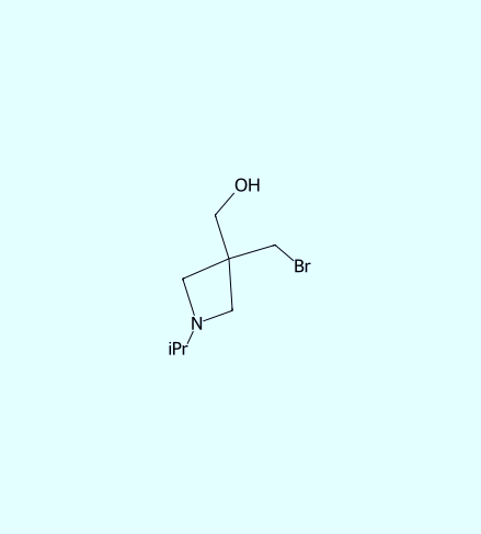 CC(C)N1CC(CO)(CBr)C1